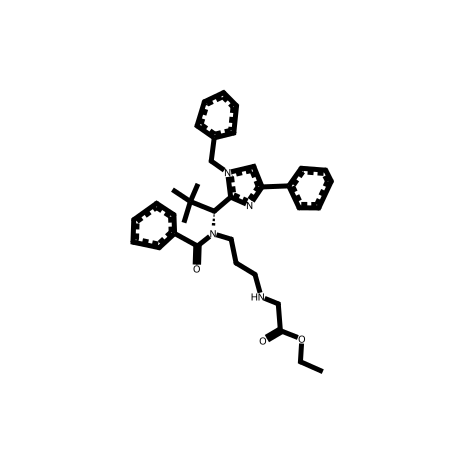 CCOC(=O)CNCCCN(C(=O)c1ccccc1)[C@@H](c1nc(-c2ccccc2)cn1Cc1ccccc1)C(C)(C)C